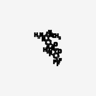 CN(C(=O)c1cc2c(cc1F)nc(N)c1cnn(C)c12)[C@@H]1COc2cc(C(F)(F)F)cc(F)c21